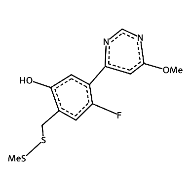 COc1cc(-c2cc(O)c(CSSC)cc2F)ncn1